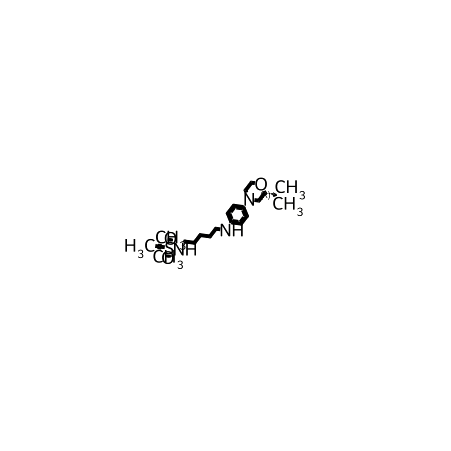 CC(C)[C@@H]1CN(c2ccc(NCCCCCNS(=O)(=O)C(C)(C)C)cc2)CCO1